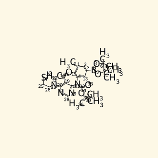 Cc1cc(B2OC(C)(C)C(C)(C)O2)cc2c1OC(C)c1c(N3CCSCC3)ncnc1N2C(=O)OC(C)(C)C